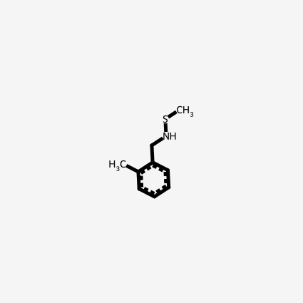 CSNCc1ccccc1C